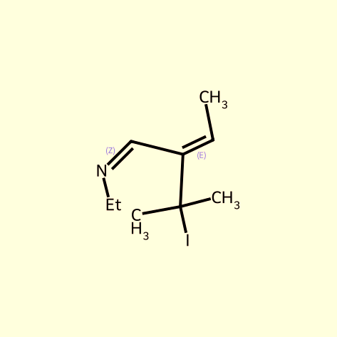 C/C=C(\C=N/CC)C(C)(C)I